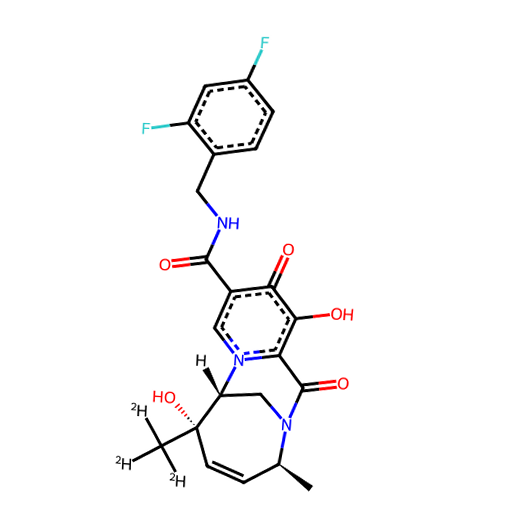 [2H]C([2H])([2H])[C@]1(O)C=C[C@H](C)N2C[C@H]1n1cc(C(=O)NCc3ccc(F)cc3F)c(=O)c(O)c1C2=O